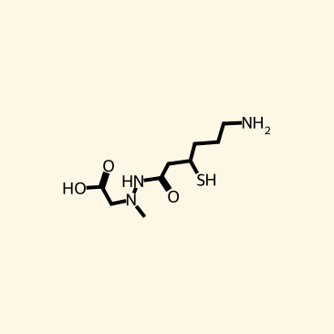 CN(CC(=O)O)NC(=O)CC(S)CCCN